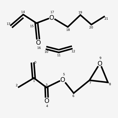 C=C(C)C(=O)OCC1CO1.C=C=C.C=CC(=O)OCCCC